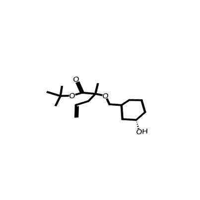 C=CCC(C)(OCC1CCC[C@H](O)C1)C(=O)OC(C)(C)C